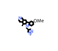 COc1ccc2c(c1)c1cc3cnccc3c(C)c1n2Cc1cnn(C)c1